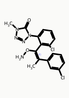 C/C(=C(\ON)c1c(Cl)cccc1-n1nnn(C)c1=O)c1cccc(Cl)c1